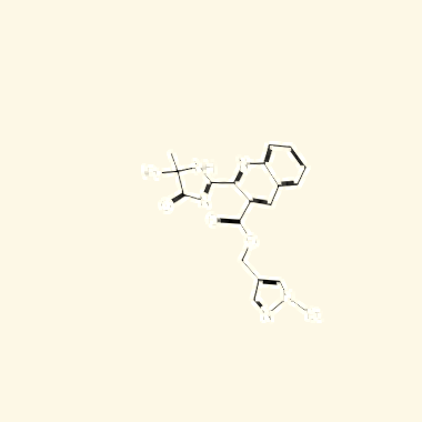 CCn1cc(COC(=O)c2cc3ccccc3nc2C2=NC(=O)C(C)(C(C)C)N2)cn1